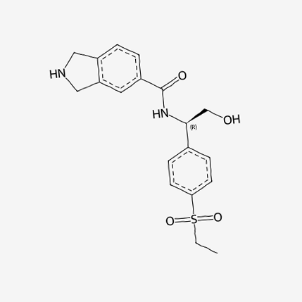 CCS(=O)(=O)c1ccc([C@H](CO)NC(=O)c2ccc3c(c2)CNC3)cc1